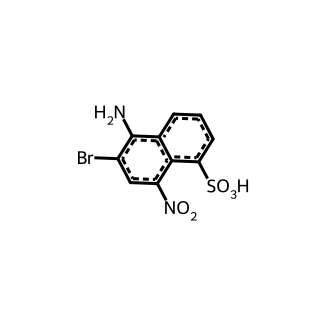 Nc1c(Br)cc([N+](=O)[O-])c2c(S(=O)(=O)O)cccc12